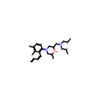 C=C/C=C\c1c(N2CC(C)OC(CN(CCC)CCC)C2)ccc(C)c1C